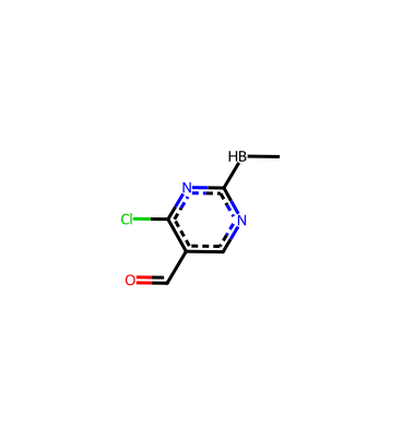 CBc1ncc(C=O)c(Cl)n1